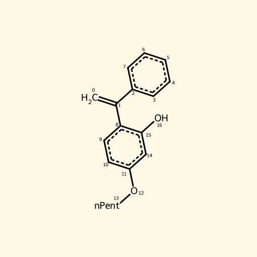 C=C(c1ccccc1)c1ccc(OCCCCC)cc1O